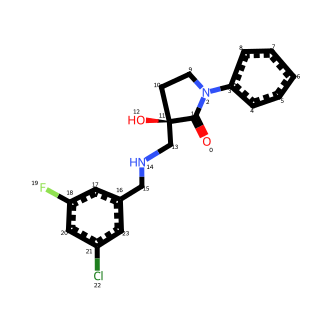 O=C1N(c2ccccc2)CC[C@@]1(O)CNCc1cc(F)cc(Cl)c1